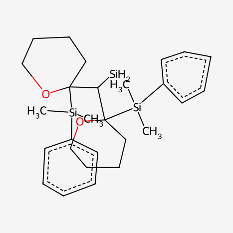 C[Si](C)(c1ccccc1)C1(C([SiH2])C2([Si](C)(C)c3ccccc3)CCCCO2)CCCCO1